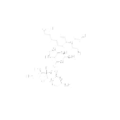 Nc1ccn([C@@H]2O[C@H](CO)[C@@H](O)C2(F)F)c(=O)n1.Nc1nc(=S)c2[nH]cnc2[nH]1.O=C(O)CCCc1ccc(N(CCCl)CCCl)cc1